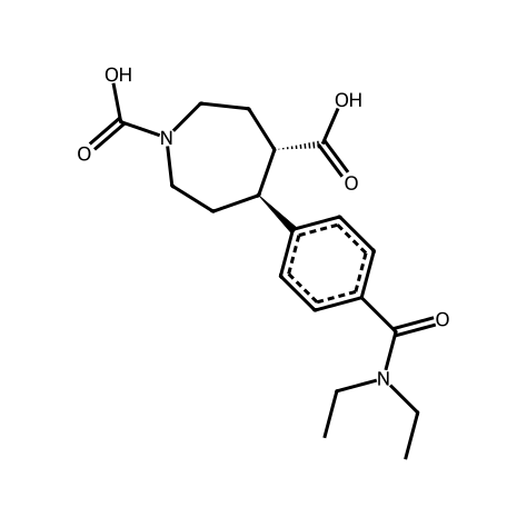 CCN(CC)C(=O)c1ccc([C@H]2CCN(C(=O)O)CC[C@@H]2C(=O)O)cc1